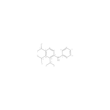 CC(C)c1ccc(Pc2ccccc2)c(C(C)C)c1C(C)C